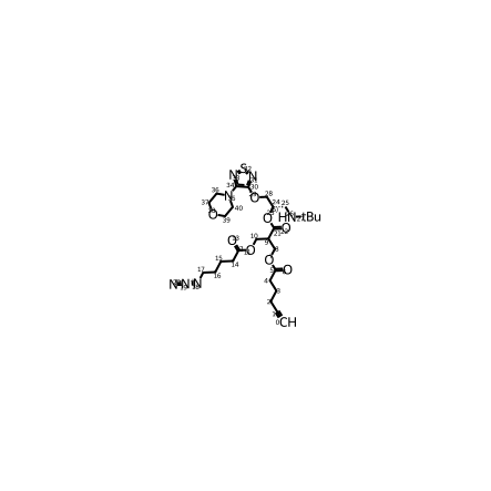 C#CCCCC(=O)OCC(COC(=O)CCCCN=[N+]=[N-])C(=O)O[C@@H](CNC(C)(C)C)COc1nsnc1N1CCOCC1